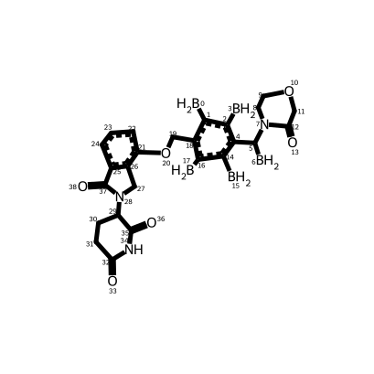 Bc1c(B)c(C(B)N2CCOCC2=O)c(B)c(B)c1COc1cccc2c1CN(C1CCC(=O)NC1=O)C2=O